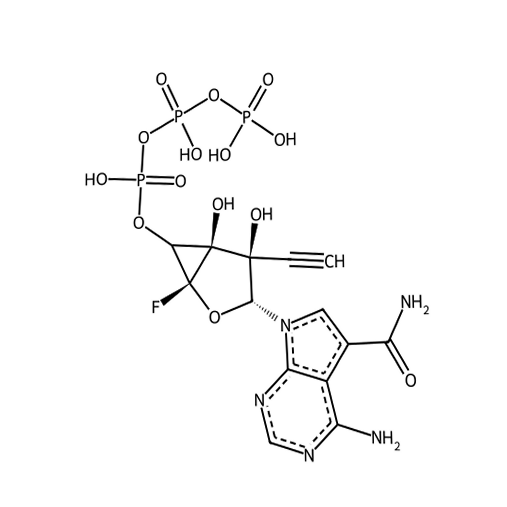 C#C[C@]1(O)[C@H](n2cc(C(N)=O)c3c(N)ncnc32)O[C@]2(F)C(OP(=O)(O)OP(=O)(O)OP(=O)(O)O)[C@@]21O